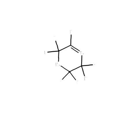 FC1=NC(F)(F)C(F)(F)NC1(F)F